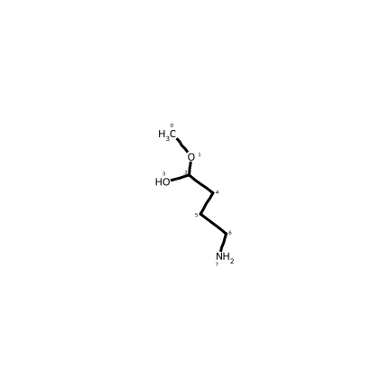 COC(O)CCCN